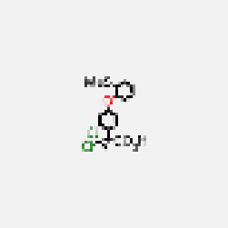 CSc1ccccc1Oc1ccc(C2(C(=O)O)CC2(Cl)Cl)cc1